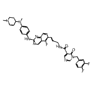 CN1CCC(N(C)c2ccc(Nc3ncc4c(F)c(C=CCNC(=O)c5cncn(Cc6ccc(F)c(F)c6)c5=O)ccc4n3)cc2)CC1